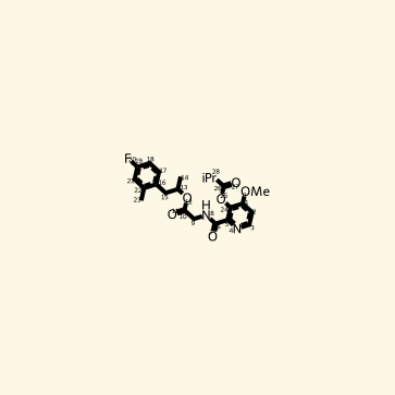 COc1ccnc(C(=O)NCC(=O)OC(C)Cc2ccc(F)cc2C)c1OC(=O)C(C)C